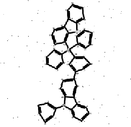 c1ccc(-n2c3ccccc3c3cc(-c4cccc([Si](c5ccccc5)(c5ccccc5)c5cccc6c5oc5ccccc56)c4)ccc32)cc1